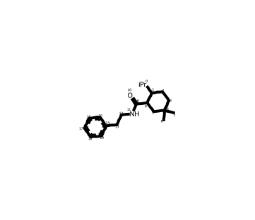 CC(C)C1CCC(C)(C)CC1C(=O)NCCc1ccccc1